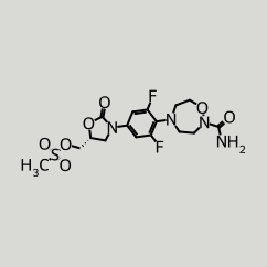 CS(=O)(=O)OC[C@H]1CN(c2cc(F)c(N3CCON(C(N)=O)CC3)c(F)c2)C(=O)O1